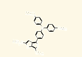 COc1ccc(N(c2ccc(OC)cc2)c2ccc(-c3sc(SC)c4sc(C(=O)O)cc34)cc2)cc1